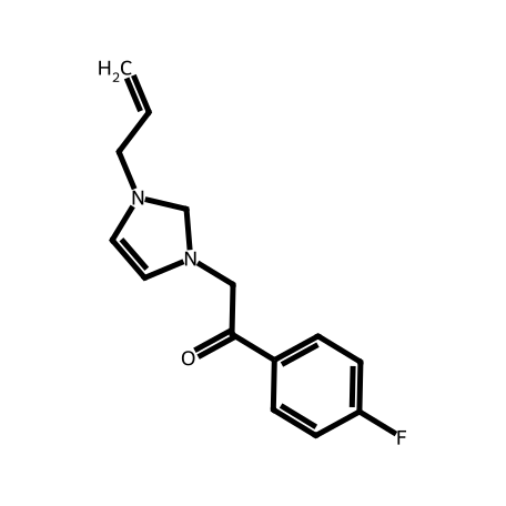 C=CCN1C=CN(CC(=O)c2ccc(F)cc2)C1